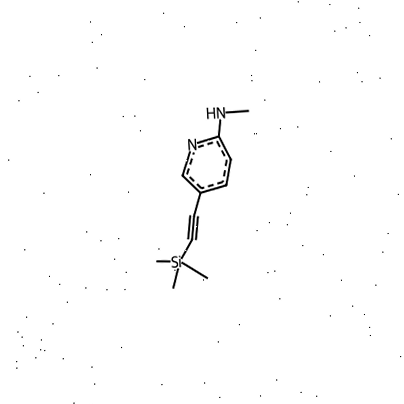 CNc1ccc(C#C[Si](C)(C)C)cn1